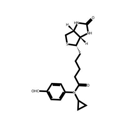 O=Cc1ccc(N(C(=O)CCCC[C@@H]2SC[C@@H]3NC(=O)N[C@@H]32)C2CC2)cc1